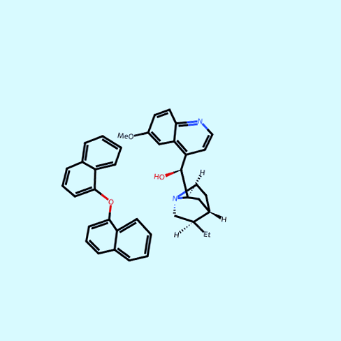 CC[C@H]1C[N@]2CC[C@H]1C[C@@H]2[C@@H](O)c1ccnc2ccc(OC)cc12.c1ccc2c(Oc3cccc4ccccc34)cccc2c1